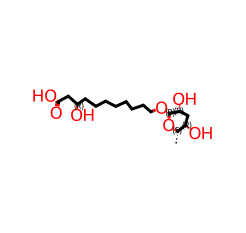 C[C@@H]1O[C@@H](OCCCCCCCC[C@@H](O)CC(=O)O)[C@H](O)C[C@H]1O